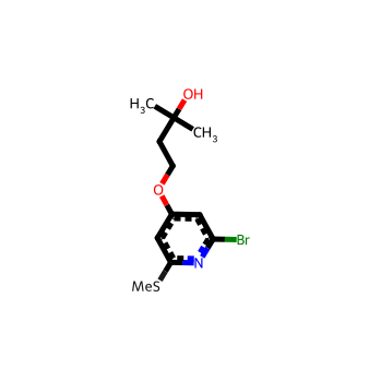 CSc1cc(OCCC(C)(C)O)cc(Br)n1